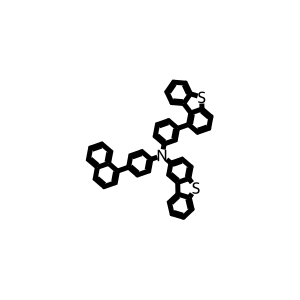 c1cc(-c2cccc3sc4ccccc4c23)cc(N(c2ccc(-c3cccc4ccccc34)cc2)c2ccc3sc4ccccc4c3c2)c1